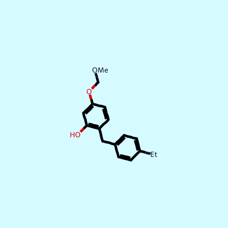 CCc1ccc(Cc2ccc(OCOC)cc2O)cc1